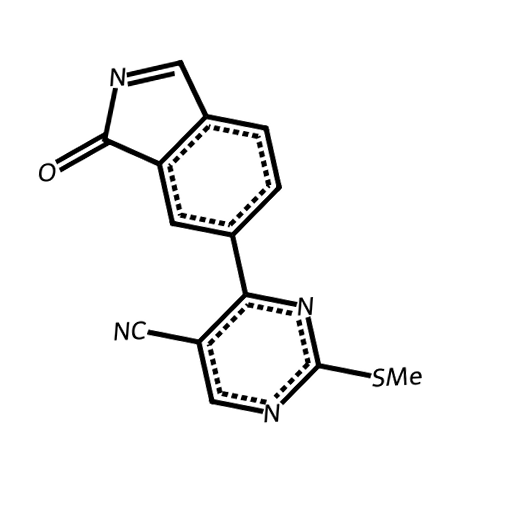 CSc1ncc(C#N)c(-c2ccc3c(c2)C(=O)N=C3)n1